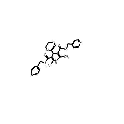 CC1=C(C(=O)OCc2ccncc2)C(C2=CSCCS2)C(C(=O)OCc2ccncc2)=C(C)N1